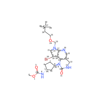 COC(=O)N[C@@H]1CC[C@@H](N2C(=O)NCc3cnc4c(c(Br)cn4COCC[Si](C)(C)C)c32)C1